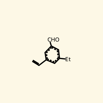 C=Cc1cc(C=O)cc(CC)c1